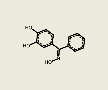 ON=C(c1ccccc1)c1ccc(O)c(O)c1